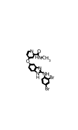 CNC(=O)c1cc(Oc2ccc3[nH]c(Nc4ccc(Br)cc4Br)nc3c2)ccn1